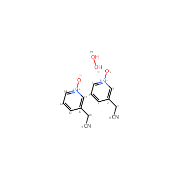 N#CCc1ccc[n+]([O-])c1.N#CCc1ccc[n+]([O-])c1.OO